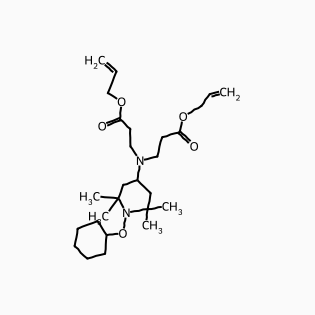 C=CCOC(=O)CCN(CCC(=O)OCC=C)C1CC(C)(C)N(OC2CCCCC2)C(C)(C)C1